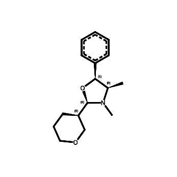 C[C@@H]1[C@H](c2ccccc2)O[C@H]([C@@H]2CCCOC2)N1C